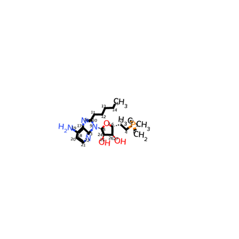 C=P(C)(C)CC[C@H]1O[C@@H](n2c(CCCCC)nc3c(N)ccnc32)[C@H](O)[C@@H]1O